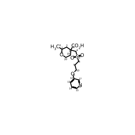 CC1CC(CS(=O)(=O)CCCOc2cccnc2)(C(=O)O)CCO1